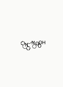 CN(CCCN1c2ccccc2CCc2ccccc21)C1CCCCC1OC(=O)O